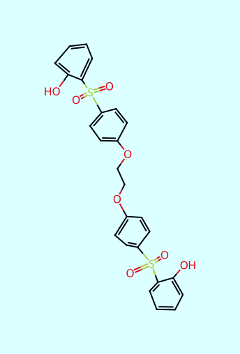 O=S(=O)(c1ccc(OCCOc2ccc(S(=O)(=O)c3ccccc3O)cc2)cc1)c1ccccc1O